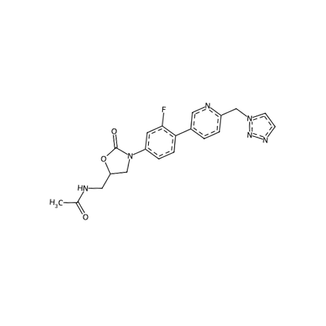 CC(=O)NCC1CN(c2ccc(-c3ccc(Cn4ccnn4)nc3)c(F)c2)C(=O)O1